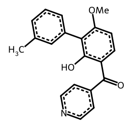 COc1ccc(C(=O)c2ccncc2)c(O)c1-c1cccc(C)c1